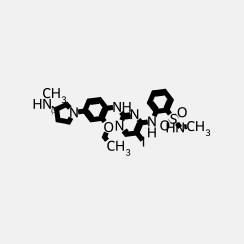 CCOc1cc(N2CC[C@H](NC)C2)ccc1Nc1ncc(I)c(Nc2ccccc2S(=O)(=O)NC)n1